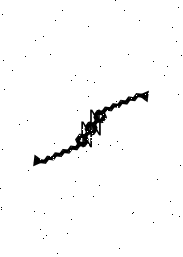 c1cc(-c2cnc(-c3ccc(CCCCCCCCCC4CC4)cn3)cn2)ncc1CCCCCCCCCC1CC1